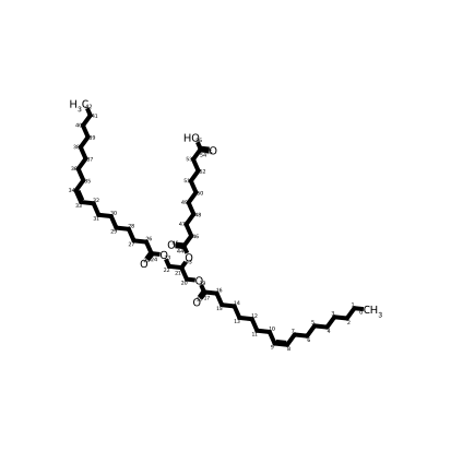 CCCCCCCC/C=C\CCCCCCCC(=O)OCC(COC(=O)CCCCCCC/C=C\CCCCCCCC)OC(=O)CCCCCCCCC(=O)O